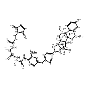 COc1cc(Cc2ccc([C@@H]3O[C@@H]4C[C@H]5[C@@H]6C[C@H](F)C7=CC(=O)C=C[C@]7(C)[C@@]6(F)[C@@H](O)C[C@]5(C)[C@]4(C(=O)CO)O3)cc2)ccc1NC(=O)[C@H](C)NC(=O)[C@H](C)NC(=O)CCN1C(=O)C=CC1=O